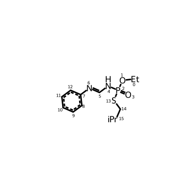 CCOP(=O)(NC=Nc1ccccc1)SCC(C)C